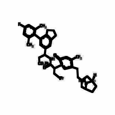 CCOC(=O)CC(NC(=O)C(CC(C)C)n1cc(CCN2CC3CC[C@@H](C2)N3C)c(C(F)(F)F)cc1=O)c1cc2c(c(-c3c(C)cc(F)cc3C)c1)CCC2